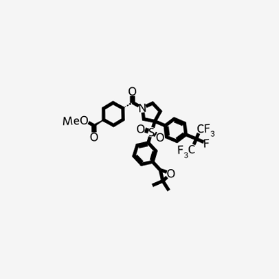 COC(=O)[C@H]1CC[C@H](C(=O)N2CCC(c3ccc(C(F)(C(F)(F)F)C(F)(F)F)cc3)(S(=O)(=O)c3cccc(C4OC4(C)C)c3)C2)CC1